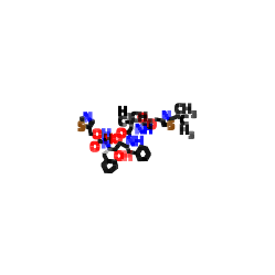 CC(C)c1nc(COC(=O)N[C@H](C(=O)N[C@@H](Cc2ccccc2)[C@@H](O)[C@@H](O)[C@H](Cc2ccccc2)NC(=O)OCc2cncs2)C(C)C)cs1